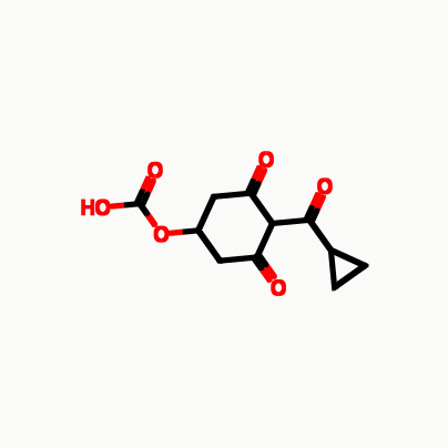 O=C(O)OC1CC(=O)C(C(=O)C2CC2)C(=O)C1